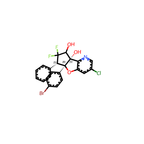 OC1C(F)(F)[C@@H](c2ccccc2)[C@]2(c3ccc(Br)cc3)Oc3cc(Cl)cnc3[C@]12O